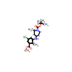 COC(=O)c1cc(Br)cc(NC2CCN(C(=O)OC(C)(C)C)C(C)C2)c1C